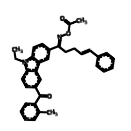 CCn1c2ccc(C(=O)c3ccccc3C)cc2c2cc(/C(CC/C=C/c3ccccc3)=N/OC(C)=O)ccc21